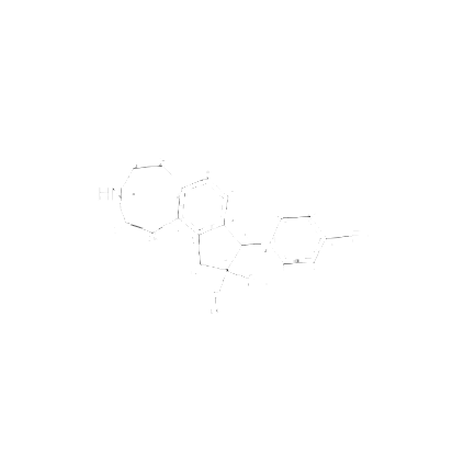 Fc1ccc(C2c3ccc4c(c3CC2(F)F)CCNCC4)cc1